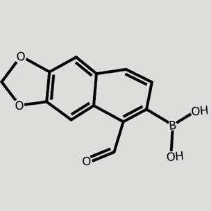 O=Cc1c(B(O)O)ccc2cc3c(cc12)OCO3